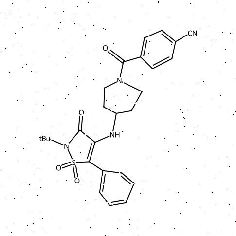 CC(C)(C)N1C(=O)C(NC2CCN(C(=O)c3ccc(C#N)cc3)CC2)=C(c2ccccc2)S1(=O)=O